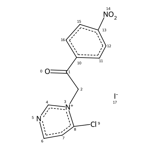 O=C(C[n+]1cnccc1Cl)c1ccc([N+](=O)[O-])cc1.[I-]